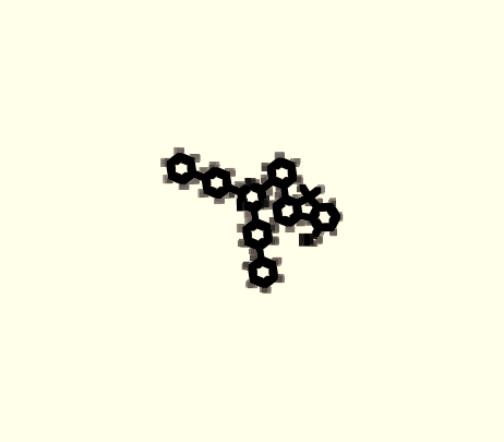 CC1(C)c2cccc(C#N)c2-c2cccc(-c3ccccc3-c3nc(-c4ccc(-c5ccccc5)cc4)nc(-c4ccc(-c5ccccc5)cc4)n3)c21